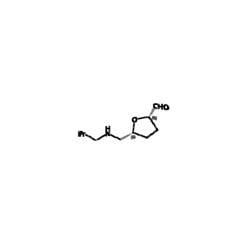 CC(C)CNC[C@H]1CC[C@@H](C=O)O1